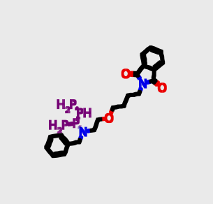 O=C1c2ccccc2C(=O)N1CCCCOCCN(Cc1ccccc1)P(P)PP